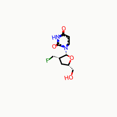 O=c1ccn([C@@H]2O[C@H](CO)C[C@@H]2CF)c(=O)[nH]1